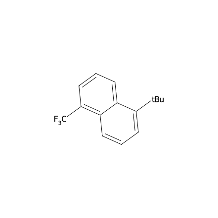 CC(C)(C)c1cccc2c(C(F)(F)F)cccc12